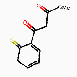 COC(=O)CC(=O)C1=CC=CCC1=S